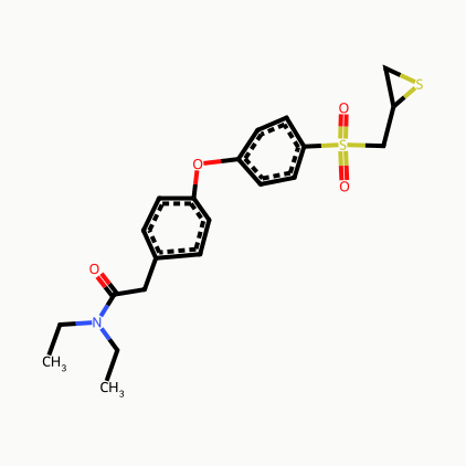 CCN(CC)C(=O)Cc1ccc(Oc2ccc(S(=O)(=O)CC3CS3)cc2)cc1